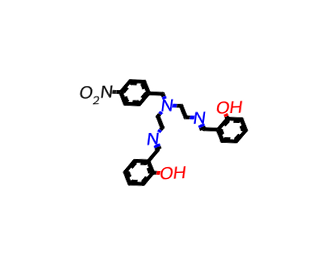 O=[N+]([O-])c1ccc(CN(CCN=Cc2ccccc2O)CCN=Cc2ccccc2O)cc1